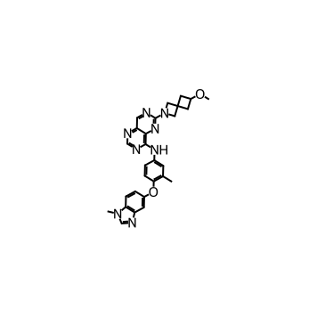 COC1CC2(C1)CN(c1ncc3ncnc(Nc4ccc(Oc5ccc6c(c5)ncn6C)c(C)c4)c3n1)C2